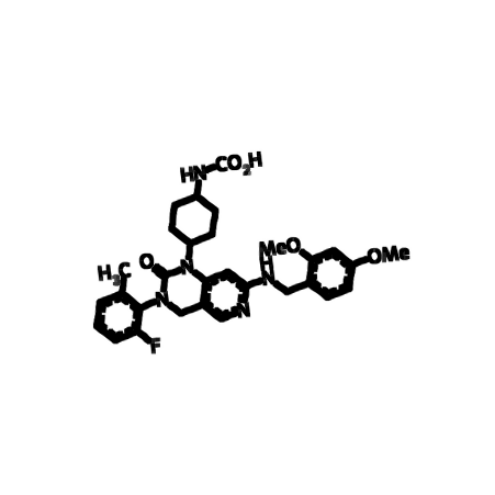 COc1ccc(CNc2cc3c(cn2)CN(c2c(C)cccc2F)C(=O)N3C2CCC(NC(=O)O)CC2)c(OC)c1